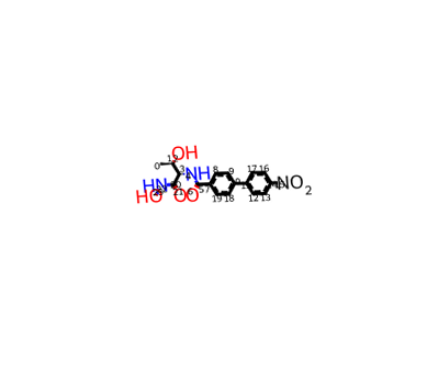 C[C@@H](O)[C@H](NC(=O)c1ccc(-c2ccc([N+](=O)[O-])cc2)cc1)C(=O)NO